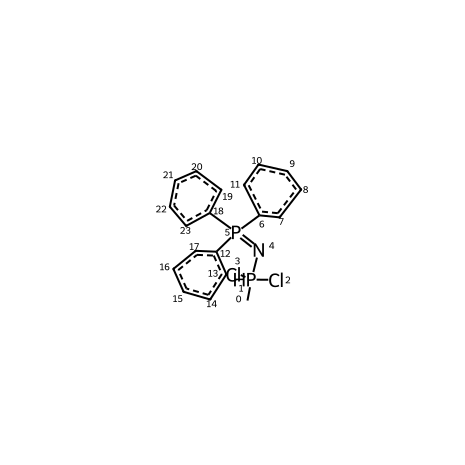 C[PH](Cl)(Cl)N=P(c1ccccc1)(c1ccccc1)c1ccccc1